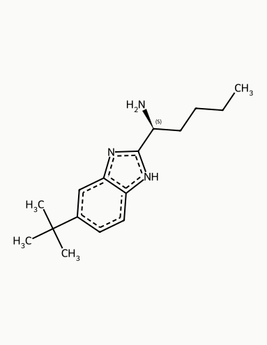 CCCC[C@H](N)c1nc2cc(C(C)(C)C)ccc2[nH]1